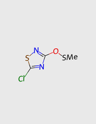 CSOc1nsc(Cl)n1